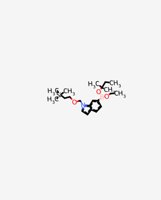 CCOB(OC(C)(C)CC)c1ccc2ccn(COCC[Si](C)(C)C)c2c1